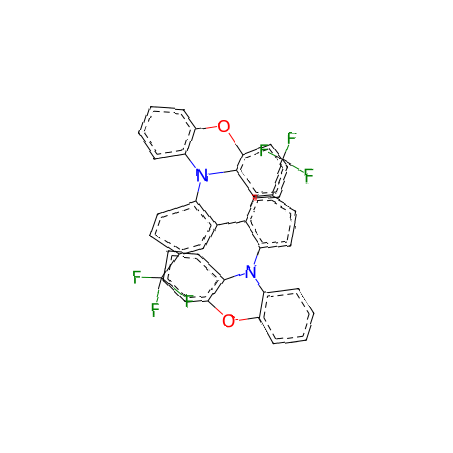 FC(F)(F)c1ccc(N2c3ccccc3Oc3ccccc32)c(-c2cc(C(F)(F)F)ccc2N2c3ccccc3Oc3ccccc32)c1